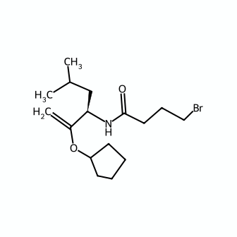 C=C(OC1CCCC1)[C@@H](CC(C)C)NC(=O)CCCBr